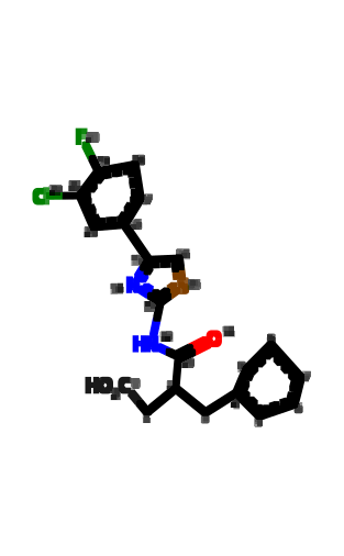 O=C(O)CC(Cc1ccccc1)C(=O)Nc1nc(-c2ccc(F)c(Cl)c2)cs1